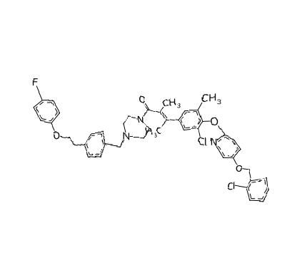 CC(C(=O)N1CCN(Cc2ccc(CCOc3ccc(F)cc3)cc2)CC1)=C(C)c1cc(C)c(Oc2ccc(OCc3ccccc3Cl)cn2)c(Cl)c1